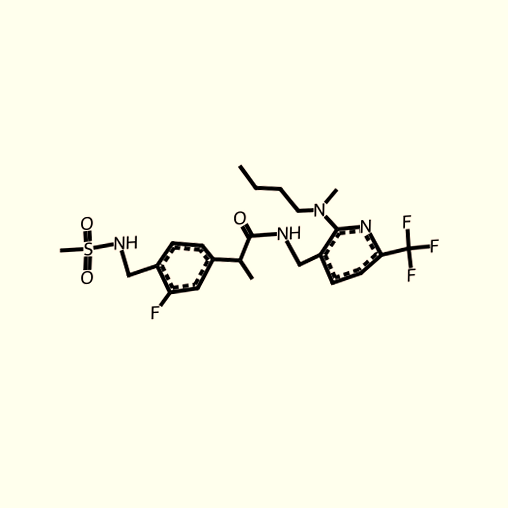 CCCCN(C)c1nc(C(F)(F)F)ccc1CNC(=O)C(C)c1ccc(CNS(C)(=O)=O)c(F)c1